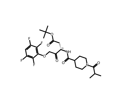 CC(C)C(=O)N1CCC(C(=O)N[C@@H](CC(=O)OC(C)(C)C)C(=O)COc2c(F)c(F)cc(F)c2F)CC1